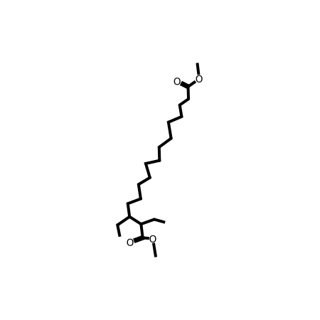 CCC(CCCCCCCCCCCCC(=O)OC)C(CC)C(=O)OC